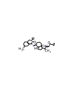 C[C@H]1CCC2=C(C1)[C@@H](/C=C1\CCC[C@]3(C)C([C@H](C)/C=C/C(=O)C4CC4)CC[C@@H]13)S(=O)(=O)C2